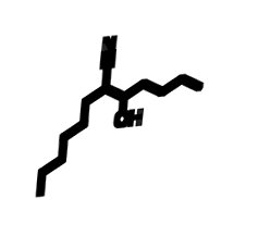 CCCCCCC(C#N)C(O)CCCC